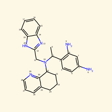 CC(c1ccc(N)cc1N)N(Cc1nc2ccccc2[nH]1)C1CCCc2cccnc21